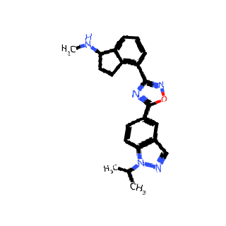 CNC1CCc2c(-c3noc(-c4ccc5c(cnn5C(C)C)c4)n3)cccc21